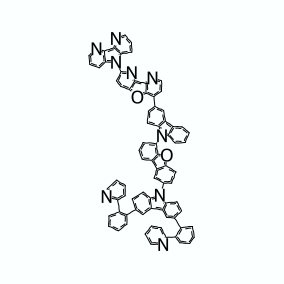 c1ccc(-c2ccccc2-c2ccc3c(c2)c2cc(-c4ccccc4-c4ccccn4)ccc2n3-c2ccc3oc4c(-n5c6ccccc6c6cc(-c7ccnc8c7oc7ccc(-n9c%10cccnc%10c%10ncccc%109)nc78)ccc65)cccc4c3c2)nc1